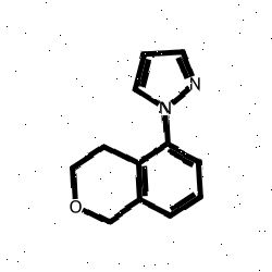 c1cc2c(c(-n3cccn3)c1)CCOC2